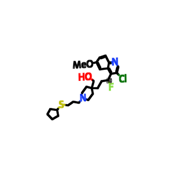 COc1ccc2ncc(Cl)c([C@@H](F)CCC3(CO)CCN(CCCSC4CCCC4)CC3)c2c1